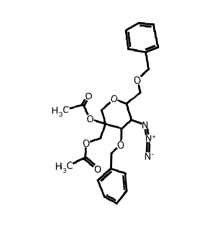 CC(=O)OCC1(OC(C)=O)COC(COCc2ccccc2)C(N=[N+]=[N-])C1OCc1ccccc1